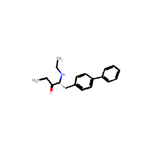 CCN[C@H](Cc1ccc(-c2ccccc2)cc1)C(=O)CC